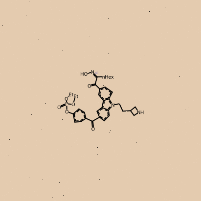 CCCCCC/C(=N/O)C(=O)c1ccc2c(c1)c1cc(C(=O)c3ccc(OP(=O)(OCC)OCC)cc3)ccc1n2CCC1CNC1